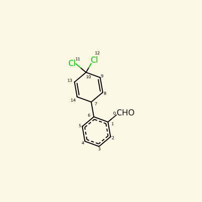 O=Cc1ccccc1C1C=CC(Cl)(Cl)C=C1